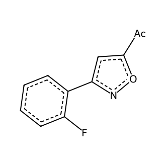 CC(=O)c1cc(-c2ccccc2F)no1